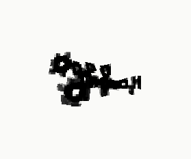 O=C(COc1ccccc1)NC1CN(S(=O)(=O)O)C1=O.c1ccncc1